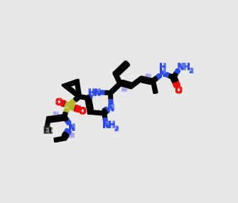 C=C/C(=C\C=C(/C)NC(N)=O)C1N=C(N)C=C(C2(S(=O)(=O)C(=C/CC)/N=C\C)CC2)N1